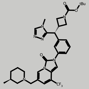 C[C@H]1CCCN(Cc2cc(C(F)(F)F)c3cn(-c4cccc([C@H](c5nncn5C)C5CN(C(=O)OC(C)(C)C)C5)c4)c(=O)n3c2)C1